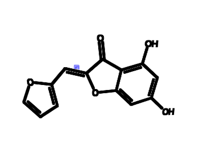 O=C1/C(=C/c2ccco2)Oc2cc(O)cc(O)c21